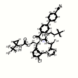 CC(C)(C)CCN/C1=N\C(F)c2ncnn2-c2cc(ccc2Cl)[C@@H](COC(=O)NC2(C(F)(F)F)CC2)N1C(=O)c1ccc(-c2ccc(C#N)cc2)cc1